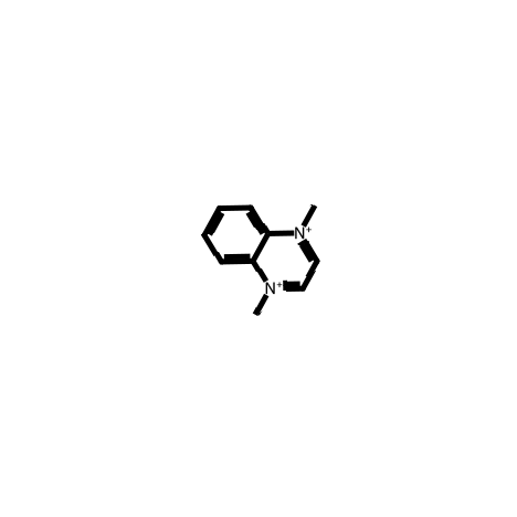 C[n+]1cc[n+](C)c2ccccc21